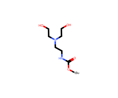 CC(C)(C)OC(=O)NCCN(CCO)CCO